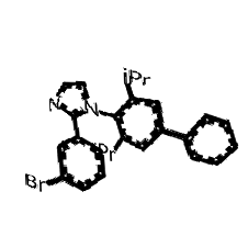 CC(C)c1cc(-c2ccccc2)cc(C(C)C)c1-n1ccnc1-c1cccc(Br)c1